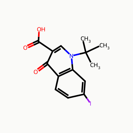 CC(C)(C)n1cc(C(=O)O)c(=O)c2ccc(I)cc21